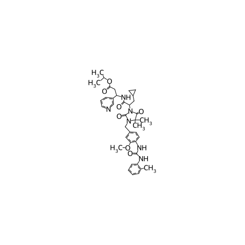 COc1cc(CN2C(=O)N(C(CC3CC3)C(=O)NC(CC(=O)OC(C)C)c3cccnc3)C(=O)C2(C)C)ccc1NC(=O)Nc1ccccc1C